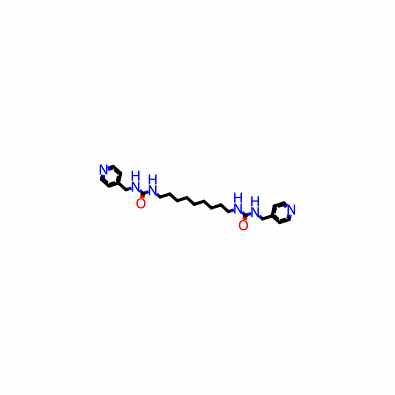 O=C(NCCCCCCCCCNC(=O)NCc1ccncc1)NCc1ccncc1